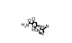 N#Cc1cncnc1Nc1cc(Cl)c(C(N)=O)[nH]c1=O